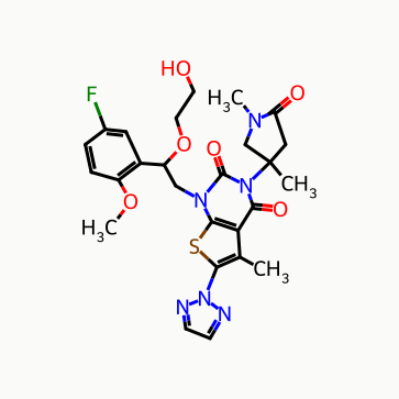 COc1ccc(F)cc1C(Cn1c(=O)n(C2(C)CC(=O)N(C)C2)c(=O)c2c(C)c(-n3nccn3)sc21)OCCO